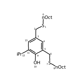 CCCCCCCCSCc1cc(CSCCCCCCCC)c(O)c(C(C)C)c1